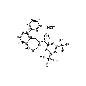 CC(c1cc(C(F)(F)F)cc(C(F)(F)F)c1)N1CCOc2nccc(-c3ccccc3)c2C1.Cl